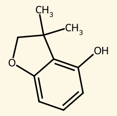 CC1(C)COc2cccc(O)c21